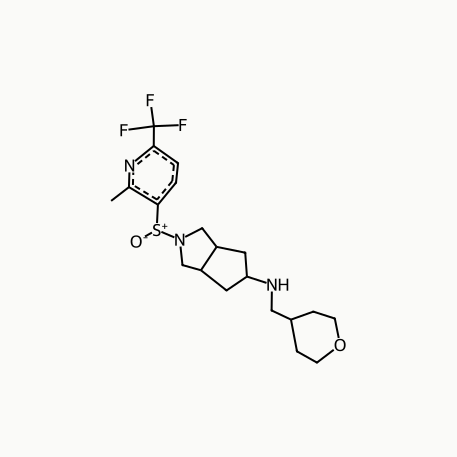 Cc1nc(C(F)(F)F)ccc1[S+]([O-])N1CC2CC(NCC3CCOCC3)CC2C1